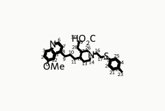 COc1ccc2nccc(CCCC3CCN(CCSc4ccc(C)cc4)CC3CCC(=O)O)c2c1